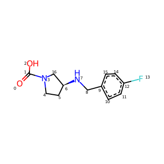 O=C(O)N1CC[C@H](NCc2ccc(F)cc2)C1